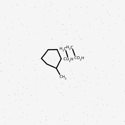 CC(=O)O.CC(=O)O.CC1CCCCC1